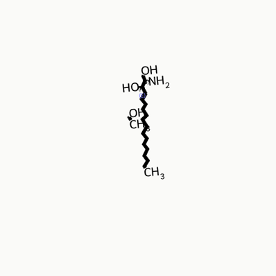 CCCCCCCCCCCCC/C=C/[C@@H](O)[C@@H](N)CO.CCO